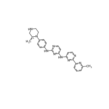 Cc1cccc(-c2nccc(Nc3ccnc(Nc4ccc(N5CCNC[C@@H]5C)cc4)n3)n2)n1